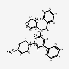 OC1CCN(c2nc(-c3ccccc3)cc(N(Cc3ccccc3)C3=COCO3)n2)CC1